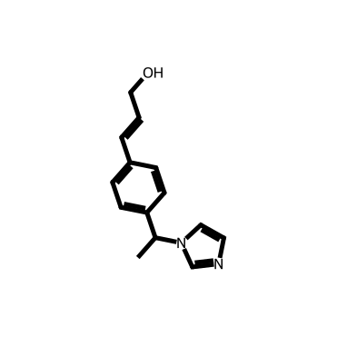 CC(c1ccc(C=CCO)cc1)n1ccnc1